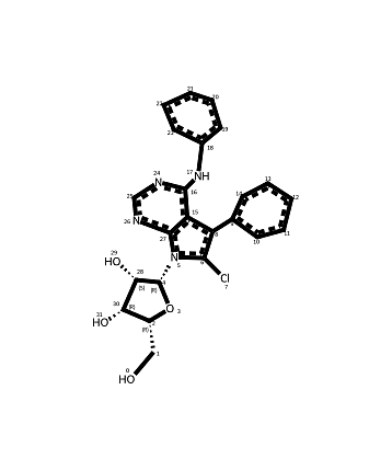 OC[C@H]1O[C@@H](n2c(Cl)c(-c3ccccc3)c3c(Nc4ccccc4)ncnc32)[C@@H](O)[C@H]1O